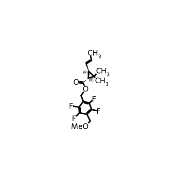 CC=C[C@@H]1[C@@H](C(=O)OCc2c(F)c(F)c(COC)c(F)c2F)C1(C)C